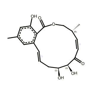 Cc1cc(O)c2c(c1)/C=C/C[C@H](O)[C@H](O)C(=O)/C=C\[C@@H](C)COC2=O